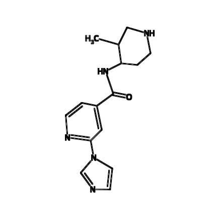 CC1CNCCC1NC(=O)c1ccnc(-n2ccnc2)c1